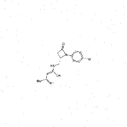 CC(C)(C)C(=N)/C=C(\O)NC[C@@H]1CC(=O)N1c1ccc(Cl)cc1